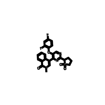 Cn1cc(-c2nc(C3CCCS3(=O)=O)ncc2Oc2ccc(F)cc2F)c2ccccc2c1=O